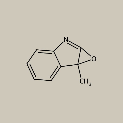 CC12OC1=Nc1ccccc12